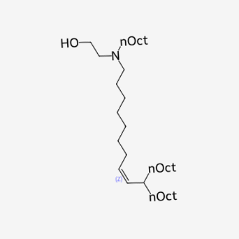 CCCCCCCCC(/C=C\CCCCCCCN(CCO)CCCCCCCC)CCCCCCCC